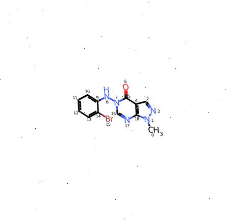 Cn1ncc2c(=O)n(Nc3ccccc3Br)cnc21